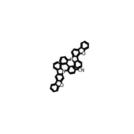 N#Cc1ccc(-n2c3ccccc3c3cc4c(cc32)oc2ccccc24)c(-c2ccccc2-n2c3ccccc3c3c4oc5ccccc5c4ccc32)c1